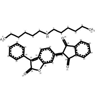 CCCCCCNCCCCCC.O=C1Oc2cc(=C3C(=O)c4ccccc4C3=O)ccc2=C1c1ccccc1